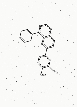 COc1ncc(-c2ccc3ncnc(C4=CCN=CC4)c3n2)cc1N